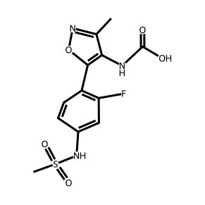 Cc1noc(-c2ccc(NS(C)(=O)=O)cc2F)c1NC(=O)O